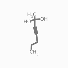 CCCC#CC(C)(O)O